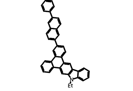 CCn1c2ccccc2c2cc3c4ccc(-c5ccc6cc(-c7ccccc7)ccc6c5)cc4c4ccccc4c3cc21